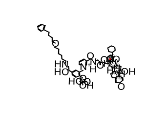 C[C@]12C=CC(=O)C=C1CC[C@@H]1[C@@H]2[C@@H](O)C[C@@]2(C)[C@H]1C[C@H]1O[C@@H](C3CCCCC3)O[C@]12C(=O)COC(=O)CNC(=O)c1ccc[n+](Cc2cc(C(O)CNCCCCCCOCCCCc3ccccc3)ccc2OP(=O)(O)O)c1